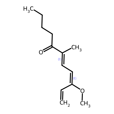 C=C/C(=C\C=C(/C)C(=O)CCCC)OC